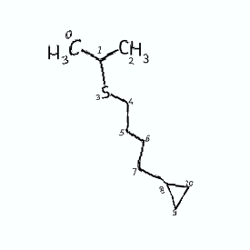 CC(C)SCCCCC1CC1